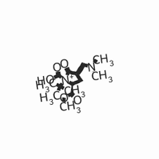 COC(=O)[C@@H]1C/C(=C\N(C)C)C(=O)[N+]1(C(=O)O)C(C)(C)C